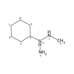 CN[SiH](N)C1CCCCC1